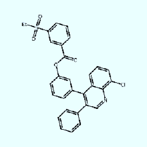 CCS(=O)(=O)c1cccc(C(=O)Oc2cccc(-c3c(-c4ccccc4)cnc4c(Cl)cccc34)c2)c1